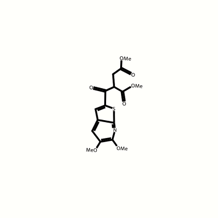 COC(=O)CC(C(=O)OC)C(=O)c1cc2cc(OC)c(OC)nc2s1